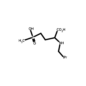 CC(C)CNC(CCP(C)(=O)O)C(=O)O